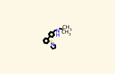 CC(C)CNCc1ccc(-c2ccccc2SN2CCCC2)cc1